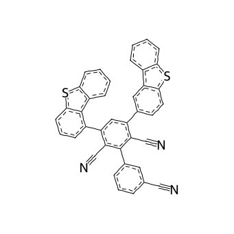 N#Cc1cccc(-c2c(C#N)c(-c3ccc4sc5ccccc5c4c3)cc(-c3cccc4sc5ccccc5c34)c2C#N)c1